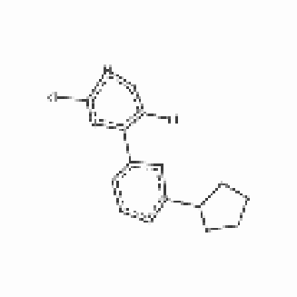 Clc1ncc(Cl)c(-c2cccc(C3CCCC3)c2)n1